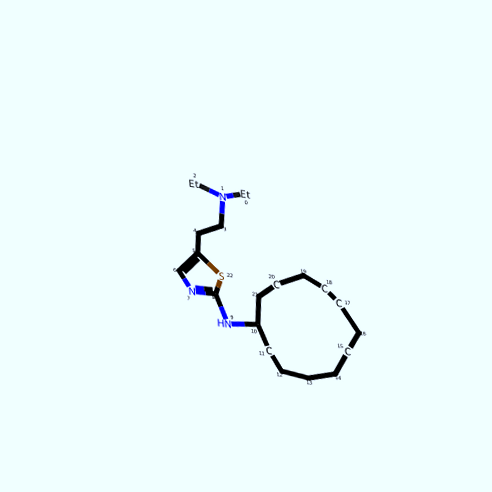 CCN(CC)CCc1cnc(NC2CCCCCCCCCCC2)s1